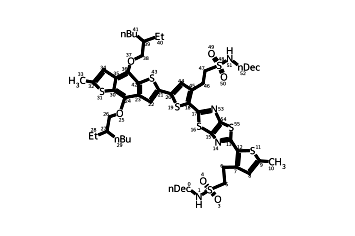 CCCCCCCCCCNS(=O)(=O)CCc1cc(C)sc1-c1nc2sc(-c3sc(-c4cc5c(OCC(CC)CCCC)c6sc(C)cc6c(OCC(CC)CCCC)c5s4)cc3CCS(=O)(=O)NCCCCCCCCCC)nc2s1